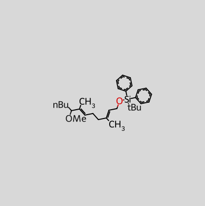 CCCCC(OC)/C(C)=C/CC/C(C)=C/CO[Si](c1ccccc1)(c1ccccc1)C(C)(C)C